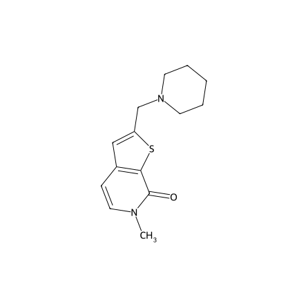 Cn1ccc2cc(CN3CCCCC3)sc2c1=O